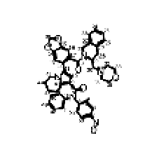 O=Nc1ccc(N(C(=O)c2cc(-c3cc4c(cc3C(=O)N3Cc5ccccc5CC3CN3CCOCC3)OCO4)n3c2CCCC3)c2ccccc2)cc1